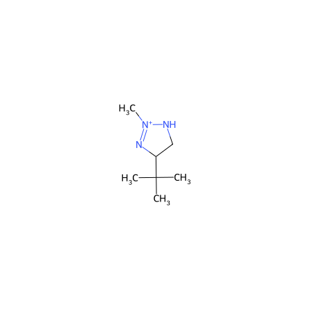 C[N+]1=NC(C(C)(C)C)CN1